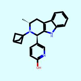 C[C@@H]1Cc2c([nH]c3ccccc23)[C@@H](c2ccc(O)nc2)N1C12CC(C1)C2